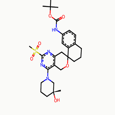 CC(C)(C)OC(=O)Nc1ccc2c(c1)C1(CCC2)Cc2nc(S(C)(=O)=O)nc(N3CCC[C@@](C)(O)C3)c2CO1